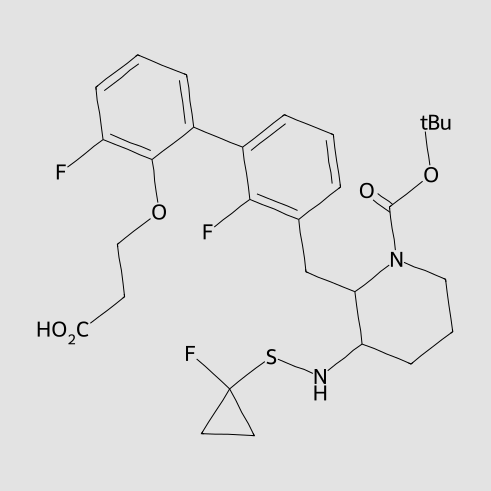 CC(C)(C)OC(=O)N1CCCC(NSC2(F)CC2)C1Cc1cccc(-c2cccc(F)c2OCCC(=O)O)c1F